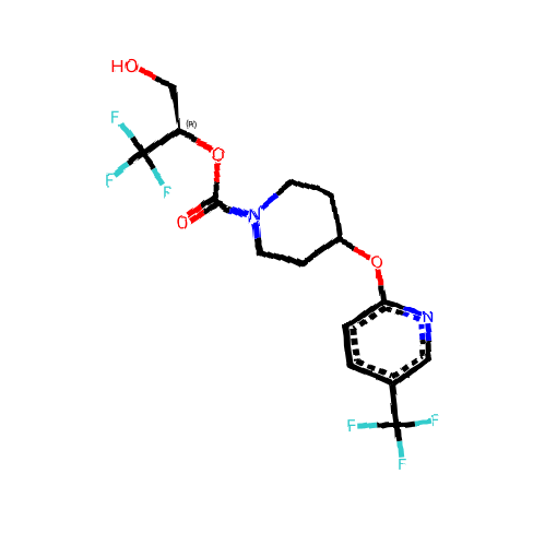 O=C(O[C@H](CO)C(F)(F)F)N1CCC(Oc2ccc(C(F)(F)F)cn2)CC1